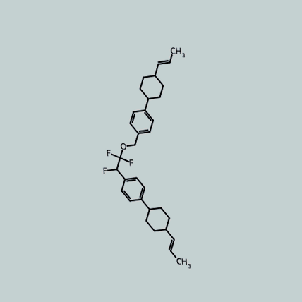 CC=CC1CCC(c2ccc(COC(F)(F)C(F)c3ccc(C4CCC(C=CC)CC4)cc3)cc2)CC1